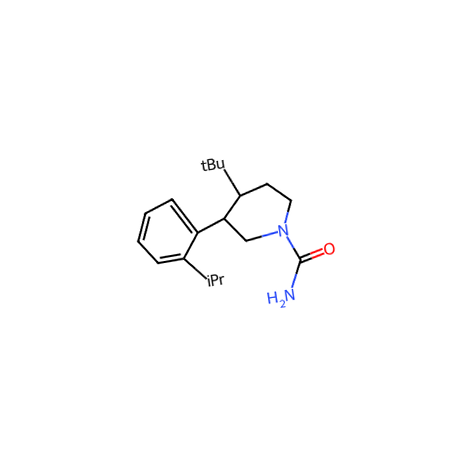 CC(C)c1ccccc1C1CN(C(N)=O)CCC1C(C)(C)C